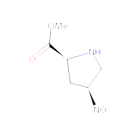 COC(=O)[C@@H]1C[C@H](N=O)CN1